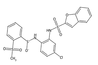 CS(=O)(=O)c1ccccc1[S+]([O-])Nc1ccc(Cl)cc1NS(=O)(=O)c1cc2ccccc2o1